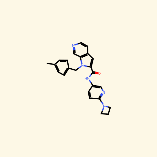 Cc1ccc(Cn2c(C(=O)Nc3ccc(N4CCC4)nc3)cc3ccncc32)cc1